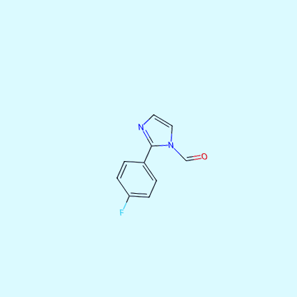 O=Cn1ccnc1-c1ccc(F)cc1